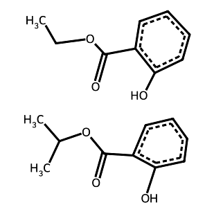 CC(C)OC(=O)c1ccccc1O.CCOC(=O)c1ccccc1O